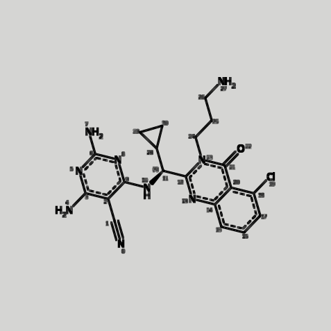 N#Cc1c(N)nc(N)nc1N[C@H](c1nc2cccc(Cl)c2c(=O)n1CCCN)C1CC1